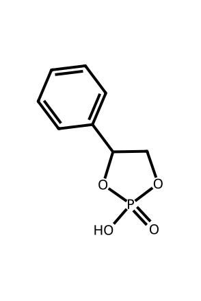 O=P1(O)OCC(c2ccccc2)O1